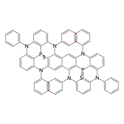 S=P12c3c4cccc3N(c3ccccc3)c3cc5c6c7c(cc5c(c31)N(c1ccccc1)c1cccc(c12)N4c1ccccc1)N(c1ccccc1)c1cccc2c1P7(=S)c1c(cccc1N6c1ccccc1)N2c1ccccc1